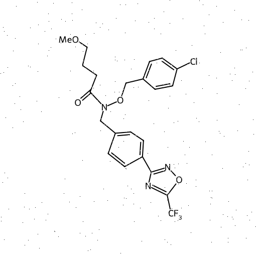 COCCCC(=O)N(Cc1ccc(-c2noc(C(F)(F)F)n2)cc1)OCc1ccc(Cl)cc1